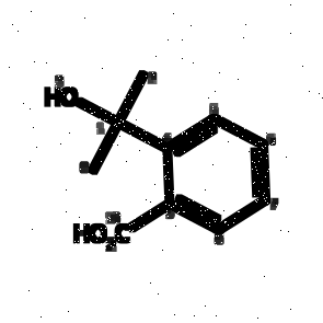 CC(C)(O)c1ccccc1C(=O)O